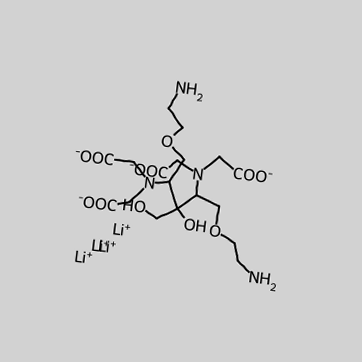 NCCOCC(N(CC(=O)[O-])CC(=O)[O-])C(O)(CO)C(COCCN)N(CC(=O)[O-])CC(=O)[O-].[Li+].[Li+].[Li+].[Li+]